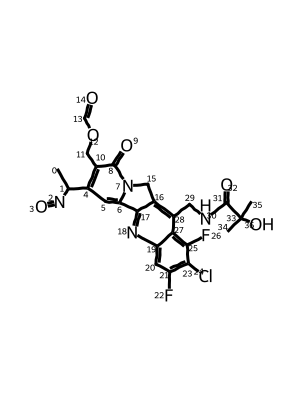 CC(N=O)c1cc2n(c(=O)c1COC=O)Cc1c-2nc2cc(F)c(Cl)c(F)c2c1CNC(=O)C(C)(C)O